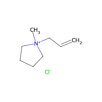 C=CC[N+]1(C)CCCC1.[Cl-]